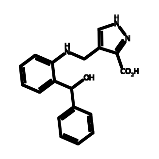 O=C(O)c1n[nH]cc1CNc1ccccc1C(O)c1ccccc1